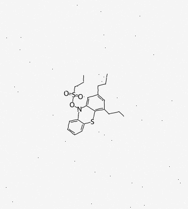 CCCc1cc(CCC)c2c(c1)N(OS(=O)(=O)CCC)c1ccccc1S2